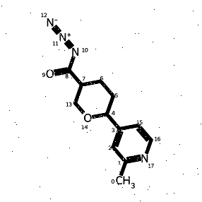 Cc1cc(C2CCC(C(=O)N=[N+]=[N-])CO2)ccn1